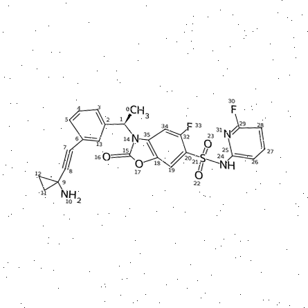 C[C@H](c1cccc(C#CC2(N)CC2)c1)n1c(=O)oc2cc(S(=O)(=O)Nc3cccc(F)n3)c(F)cc21